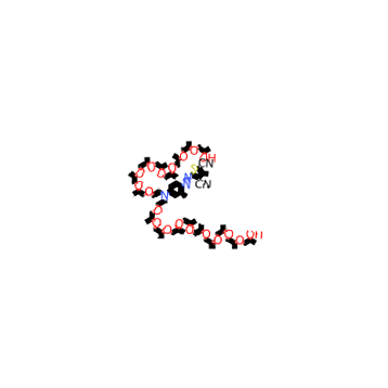 Cc1cc(N(CCOCC(C)OCC(C)OCC(C)OCC(C)OCC(C)OCC(C)OCC(C)OCC(C)O)CCOCC(C)OCC(C)OCC(C)OCC(C)OCC(C)OCC(C)OCC(C)OCC(C)OCC(C)O)ccc1/N=N/c1sc(C#N)c(C)c1C#N